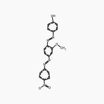 COc1cc(/N=N/c2ccc([N+](=O)[O-])cc2)ccc1/N=N/c1ccc(O)cc1